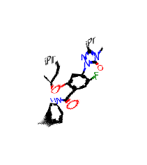 CC(C)C[C@H](C)Oc1cc(-n2nc(C(C)C)n(C)c2=O)c(F)cc1C(=O)Nc1ccccc1